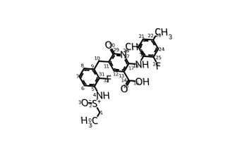 CC[S+]([O-])Nc1cccc(Cc2cc(C(=O)O)c(Nc3ccc(C)cc3F)n(C)c2=O)c1F